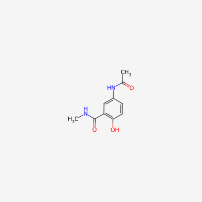 CNC(=O)c1cc(NC(C)=O)ccc1O